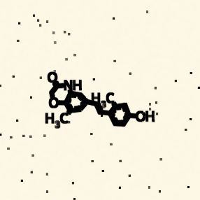 Cc1cc(O)ccc1/C=C/c1cc(C)c2c(c1)NC(=O)CO2